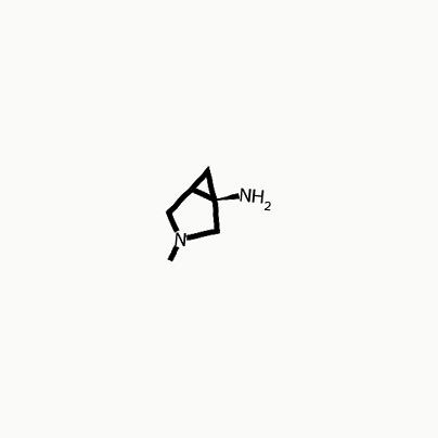 CN1CC2C[C@]2(N)C1